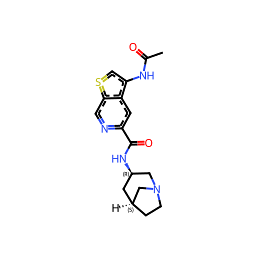 CC(=O)Nc1csc2cnc(C(=O)N[C@@H]3C[C@@H]4CCN(C4)C3)cc12